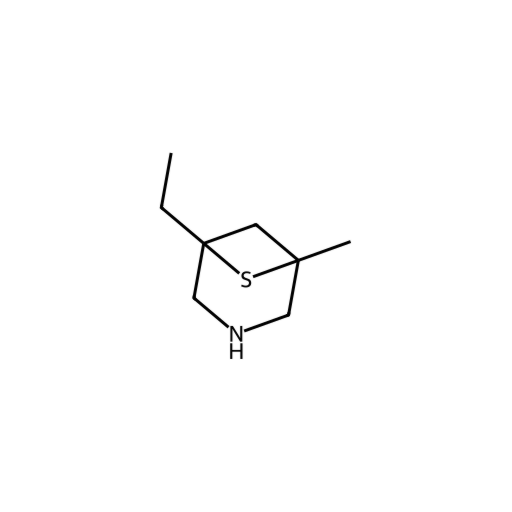 CCC12CNCC(C)(C1)S2